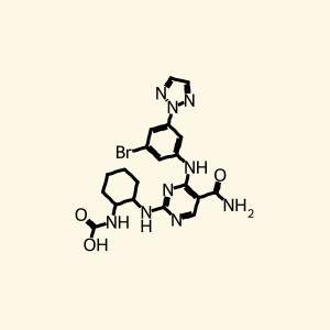 NC(=O)c1cnc(NC2CCCCC2NC(=O)O)nc1Nc1cc(Br)cc(-n2nccn2)c1